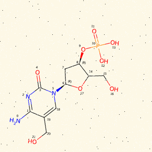 Nc1nc(=O)n([C@H]2C[C@@H](OP(=O)(O)O)C(CO)O2)cc1CO